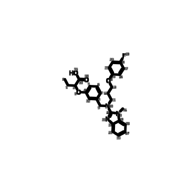 CCC(Oc1cccc(CN(CCCOc2ccc(F)cc2)c2nc3ccccc3n2C)c1)C(=O)O